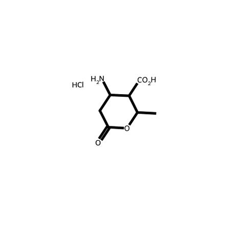 CC1OC(=O)CC(N)C1C(=O)O.Cl